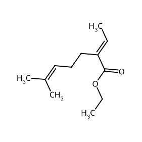 C/C=C(\CCC=C(C)C)C(=O)OCC